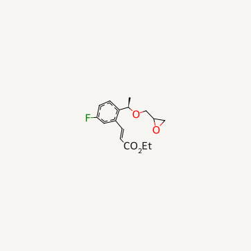 CCOC(=O)/C=C/c1cc(F)ccc1[C@@H](C)OCC1CO1